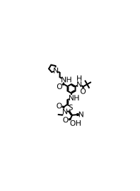 CCn1c(=C(C#N)C(=O)O)sc(=CNc2cc(NC(=O)C(C)(C)C)cc(C(=O)NCCN3CCCC3)c2)c1=O